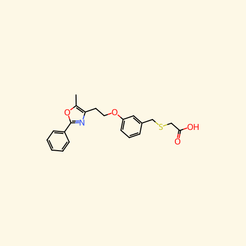 Cc1oc(-c2ccccc2)nc1CCOc1cccc(CSCC(=O)O)c1